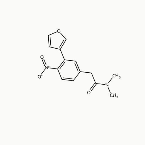 CN(C)C(=O)Cc1ccc([N+](=O)[O-])c(-c2ccoc2)c1